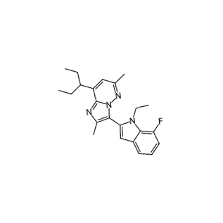 CCC(CC)c1cc(C)nn2c(-c3cc4cccc(F)c4n3CC)c(C)nc12